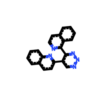 c1ccc2nc(-c3cnnnc3-c3nccc4ccccc34)ccc2c1